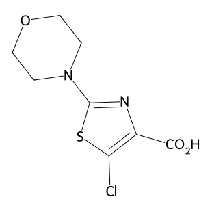 O=C(O)c1nc(N2CCOCC2)sc1Cl